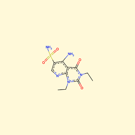 CCn1c(=O)c2c(N)c(S(N)(=O)=O)cnc2n(CC)c1=O